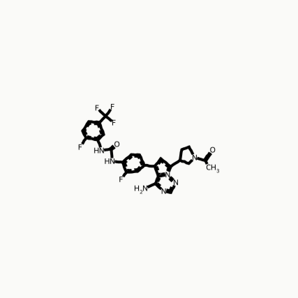 CC(=O)N1CCC(c2cc(-c3ccc(NC(=O)Nc4cc(C(F)(F)F)ccc4F)c(F)c3)c3c(N)ncnn23)C1